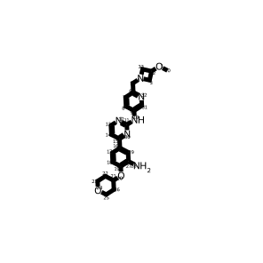 COC1CN(Cc2ccc(Nc3nccc(-c4ccc(OC5CCOCC5)c(N)c4)n3)cn2)C1